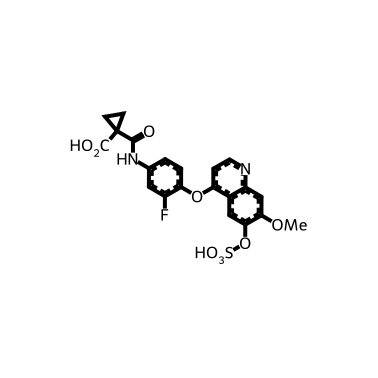 COc1cc2nccc(Oc3ccc(NC(=O)C4(C(=O)O)CC4)cc3F)c2cc1OS(=O)(=O)O